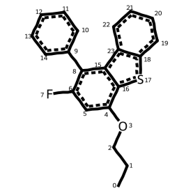 CCCOc1cc(F)c(-c2ccccc2)c2c1sc1ccccc12